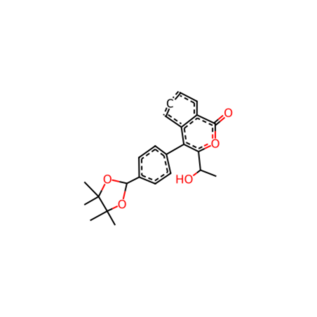 CC(O)c1oc(=O)c2ccccc2c1-c1ccc(C2OC(C)(C)C(C)(C)O2)cc1